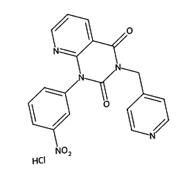 Cl.O=c1c2cccnc2n(-c2cccc([N+](=O)[O-])c2)c(=O)n1Cc1ccncc1